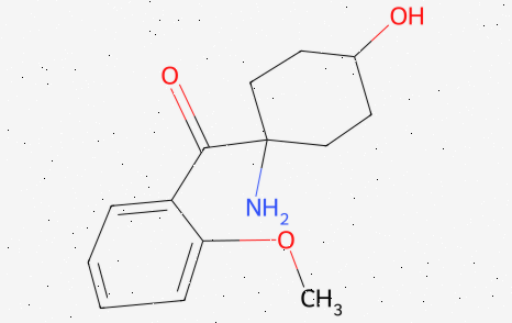 COc1ccccc1C(=O)C1(N)CCC(O)CC1